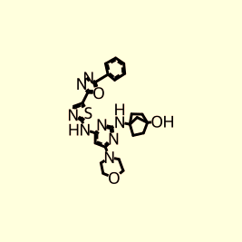 OC12CCC(Nc3nc(Nc4ncc(-c5nnc(-c6ccccc6)o5)s4)cc(N4CCOCC4)n3)(CC1)C2